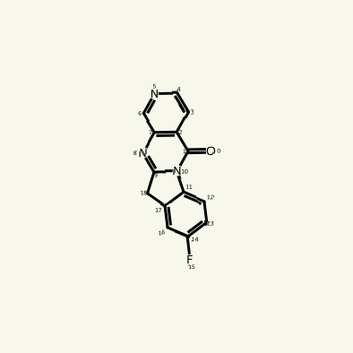 O=c1c2ccncc2nc2n1-c1ccc(F)cc1C2